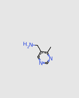 Cc1ncncc1CN